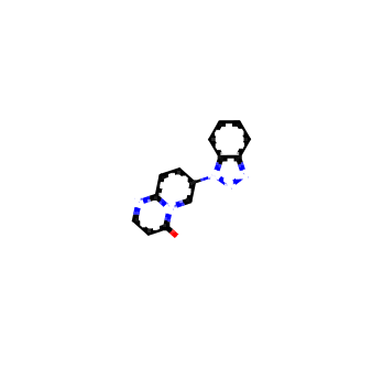 O=c1ccnc2ccc(-n3nnc4ccccc43)cn12